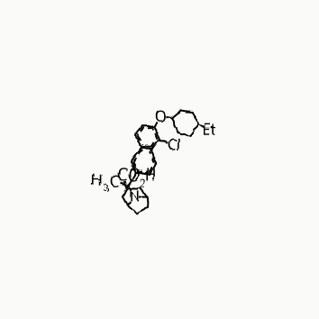 CC[C@H]1CC[C@@H](Oc2ccc3cc([C@H](C)N4C5CCC4CC(C(=O)O)C5)ccc3c2Cl)CC1